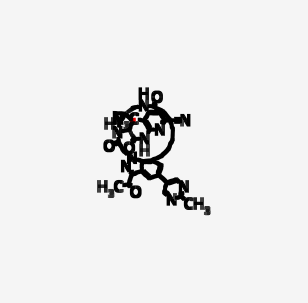 CC(=O)c1nn2c3c(cc(-c4cnc(C)nc4)cc13)CCCCCCC(=O)NC[C@@]13C[C@@H](C(=O)Nc4nc(C#N)ccc4C)N(C(=O)C2)[C@@H]1C3